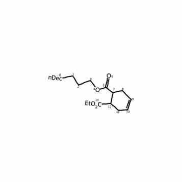 CCCCCCCCCCCCCOC(=O)C1CC=CCC1C(=O)OCC